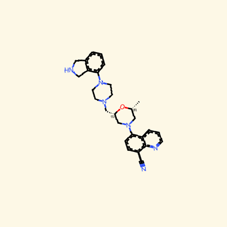 C[C@@H]1CN(c2ccc(C#N)c3ncccc23)C[C@H](CN2CCN(c3cccc4c3CNC4)CC2)O1